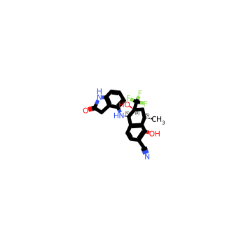 C[C@H]1C[C@](O)(C(F)(F)F)[C@@H](Nc2cccc3c2CC(=O)N3)c2ccc(C#N)c(O)c21